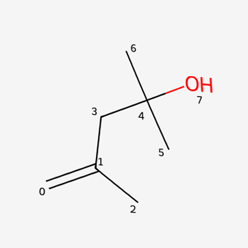 C=C(C)CC(C)(C)O